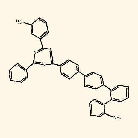 Cc1cccc(-c2nc(-c3ccccc3)nc(-c3ccc(-c4ccc(-c5ccccc5-c5ccccc5N)cc4)cc3)n2)c1